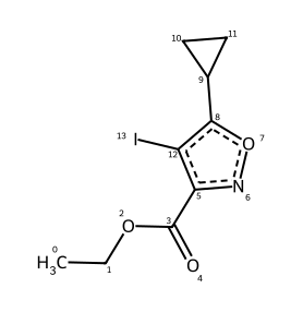 CCOC(=O)c1noc(C2CC2)c1I